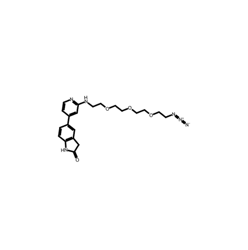 [N-]=[N+]=NCCOCCOCCOCCNc1cc(-c2ccc3c(c2)CC(=O)N3)ccn1